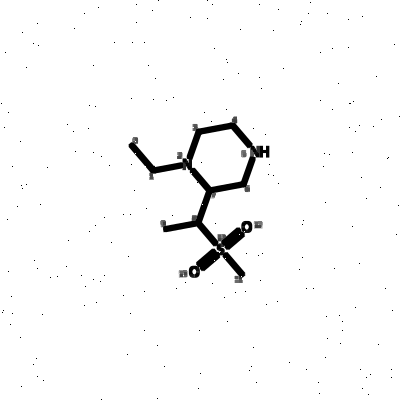 C[CH]N1CCNCC1C(C)S(C)(=O)=O